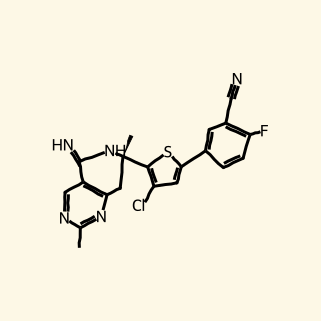 Cc1ncc2c(n1)C[C@@](C)(c1sc(-c3ccc(F)c(C#N)c3)cc1Cl)NC2=N